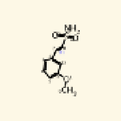 COc1cccc(/C=C/S(N)(=O)=O)c1